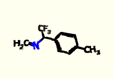 C=NC(c1ccc(C)cc1)C(F)(F)F